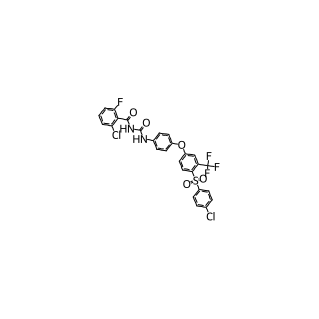 O=C(NC(=O)c1c(F)cccc1Cl)Nc1ccc(Oc2ccc(S(=O)(=O)c3ccc(Cl)cc3)c(C(F)(F)F)c2)cc1